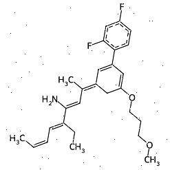 C\C=C/C=C(CC)/C(N)=C/C(C)=C1/C=C(c2ccc(F)cc2F)C=C(OCCCOC)C1